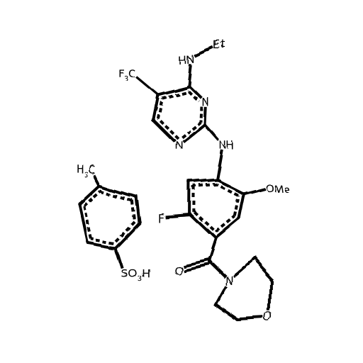 CCNc1nc(Nc2cc(F)c(C(=O)N3CCOCC3)cc2OC)ncc1C(F)(F)F.Cc1ccc(S(=O)(=O)O)cc1